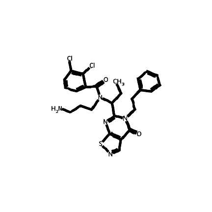 CCC(c1nc2sncc2c(=O)n1CCc1ccccc1)N(CCCN)C(=O)c1cccc(Cl)c1Cl